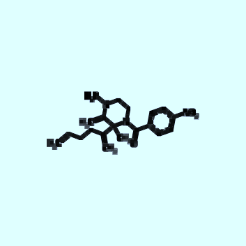 BN1CCN(C(=O)c2ccc([N+](=O)[O-])cc2)C(C)(C(=C)CCC=C)C1=C